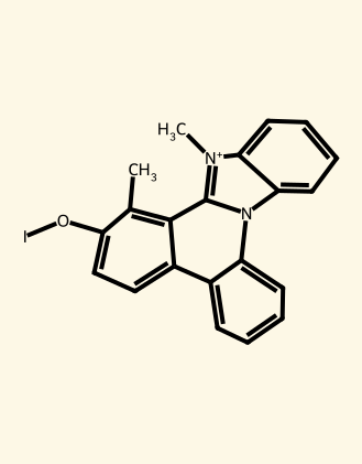 Cc1c(OI)ccc2c3ccccc3n3c4ccccc4[n+](C)c3c12